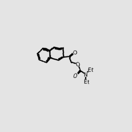 CCN(CC)C(=O)OCC(=O)c1ccc2ccccc2c1